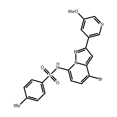 COc1cncc(-c2cc3c(Br)ccc(NS(=O)(=O)c4ccc(C(C)(C)C)cc4)n3n2)c1